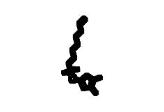 C=CCCCCCC[Si](C)(C)OC1=CC(C)=C(C)C1